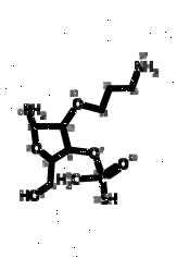 BC1OC(CO)C(OP(C)(=O)S)C1OCCCN